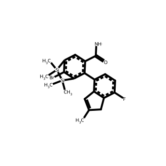 CC1=Cc2c(-c3c(C([NH])=O)cc4c(Br)c3[Si](C)(C)[Si]4(C)C)ccc(F)c2C1